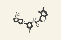 CC(=O)N1CCC2CN(c3cc(F)cc(NC(=O)C(C)Cc4c(F)ccc(C)c4C)c3)CC21